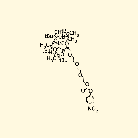 CC(C)(C)[Si](C)(C)OC1O[C@H](COCCOCCOCCOC(=O)Oc2ccc([N+](=O)[O-])cc2)[C@@H](O[Si](C)(C)C(C)(C)C)[C@H](O[Si](C)(C)C(C)(C)C)[C@@H]1O[Si](C)(C)C(C)(C)C